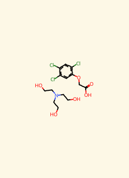 O=C(O)COc1cc(Cl)c(Cl)cc1Cl.OCCN(CCO)CCO